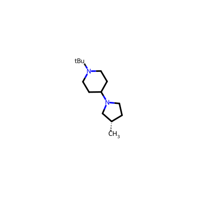 C[C@H]1CCN(C2CCN(C(C)(C)C)CC2)C1